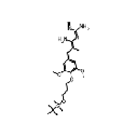 C=N/C(N)=N\C(N)=C(/C)Cc1cc(OC)c(OCCCO[Si](C)(C)C(C)(C)C)c(OC)c1